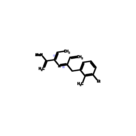 C=C/C(Cc1cccc(CC)c1C)=N\C(=C/C)C(=C)NC